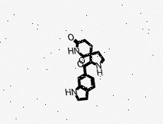 O=C1CCC2(CCNC2C(=O)c2ccc3c(c2)NCC3)C(=O)N1